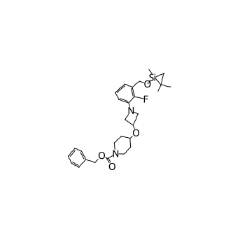 CC1(C)C[Si]1(C)OCc1cccc(N2CC(OC3CCN(C(=O)OCc4ccccc4)CC3)C2)c1F